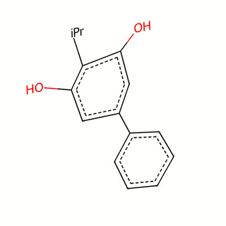 CC(C)c1c(O)cc(-c2ccccc2)cc1O